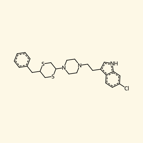 Clc1ccc2c(CCN3CCN(C4CSC(Cc5ccccc5)CS4)CC3)c[nH]c2c1